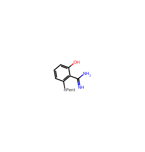 CCCCCc1cccc(O)c1C(=N)N